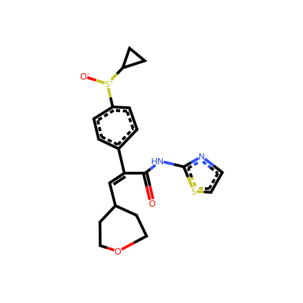 O=C(Nc1nccs1)C(=CC1CCOCC1)c1ccc([S+]([O-])C2CC2)cc1